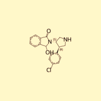 O=C1c2ccccc2C(O)N1[C@@H]1CNC[C@H]1c1ccc(Cl)cc1